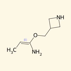 C/C=C(\N)OCC1CNC1